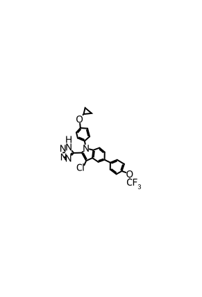 FC(F)(F)Oc1ccc(-c2ccc3c(c2)c(Cl)c(-c2nnn[nH]2)n3-c2ccc(OC3CC3)cc2)cc1